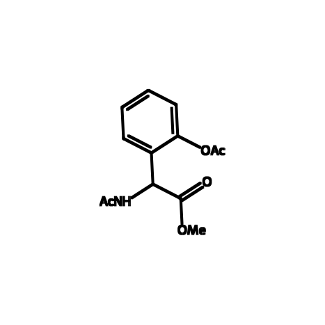 COC(=O)C(NC(C)=O)c1ccccc1OC(C)=O